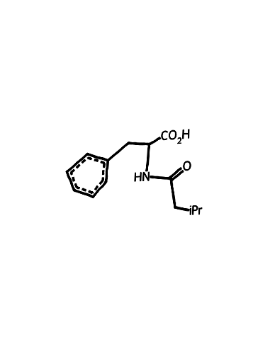 CC(C)CC(=O)NC(Cc1ccccc1)C(=O)O